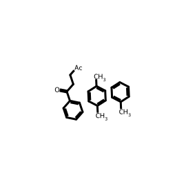 CC(=O)CCC(=O)c1ccccc1.Cc1ccc(C)cc1.Cc1ccccc1